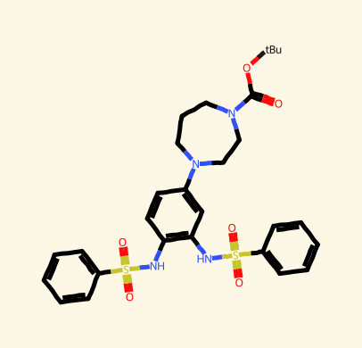 CC(C)(C)OC(=O)N1CCCN(c2ccc(NS(=O)(=O)c3ccccc3)c(NS(=O)(=O)c3ccccc3)c2)CC1